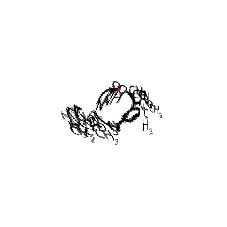 C=CC(=O)N1CC[C@]2(CCN2C(=O)N(C)C(C(=O)N[C@H]2Cc3nc(cs3)-c3ccc4c(c3)c(c(-c3cccnc3COC)n4CC)CC(C)(C)COC(=O)[C@@H]3CCCN(N3)C2=O)C(C)C)C1